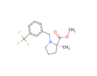 COC(=O)[C@@]1(C)CCCN1Cc1cccc(C(F)(F)F)c1